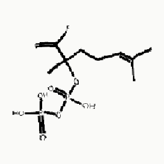 C=C(F)C(C)(CCC=C(C)C)OP(=O)(O)OP(=O)(O)O